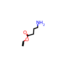 C=COC(=O)CCCN